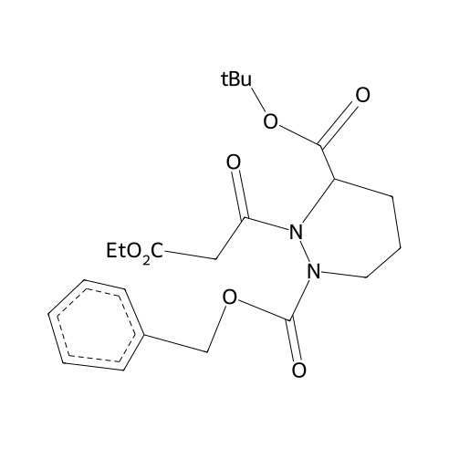 CCOC(=O)CC(=O)N1C(C(=O)OC(C)(C)C)CCCN1C(=O)OCc1ccccc1